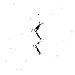 CSSN=O